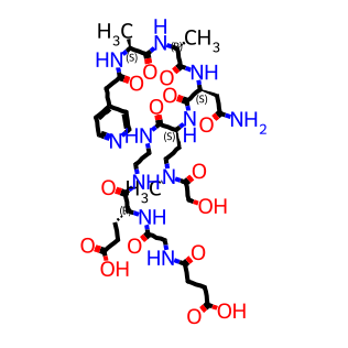 C[C@H](NC(=O)Cc1ccncc1)C(=O)N[C@H](C)C(=O)N[C@@H](CC(N)=O)C(=O)N[C@@H](CCN(C)C(=O)CO)C(=O)NCCNC(=O)[C@@H](CCC(=O)O)NC(=O)CNC(=O)CCC(=O)O